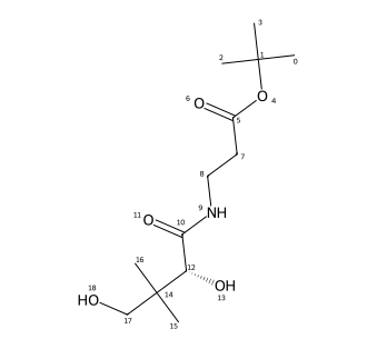 CC(C)(C)OC(=O)CCNC(=O)[C@H](O)C(C)(C)CO